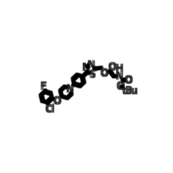 CC(C)(C)OC(=O)NCC(=O)OCc1nnc(-c2ccc(N3CCC(Oc4cc(F)ccc4Cl)CC3)cc2)s1